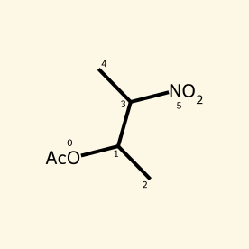 CC(=O)OC(C)C(C)[N+](=O)[O-]